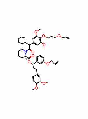 C=CCOCCCOc1c(OC)cc(C(C(=O)N2CCCC[C@@H]2C(=O)OC(CCc2ccc(OC)c(OC)c2)c2cccc(OCC=C)c2)C2CCCCC2)cc1OC